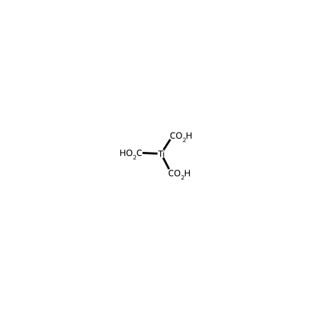 O=[C](O)[Ti]([C](=O)O)[C](=O)O